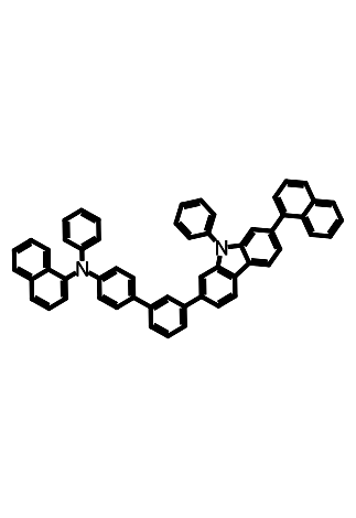 c1ccc(N(c2ccc(-c3cccc(-c4ccc5c6ccc(-c7cccc8ccccc78)cc6n(-c6ccccc6)c5c4)c3)cc2)c2cccc3ccccc23)cc1